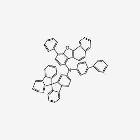 c1ccc(-c2ccc(N(c3ccc4c(c3)C3(c5ccccc5-c5ccccc53)c3ccccc3-4)c3ccc(-c4ccccc4)c4oc5c6ccccc6ccc5c34)cc2)cc1